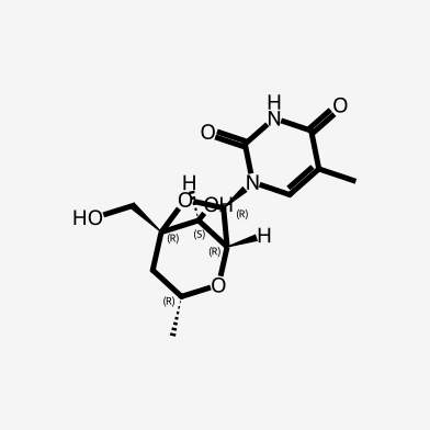 Cc1cn([C@@H]2O[C@@]3(CO)C[C@@H](C)O[C@@H]2[C@@H]3O)c(=O)[nH]c1=O